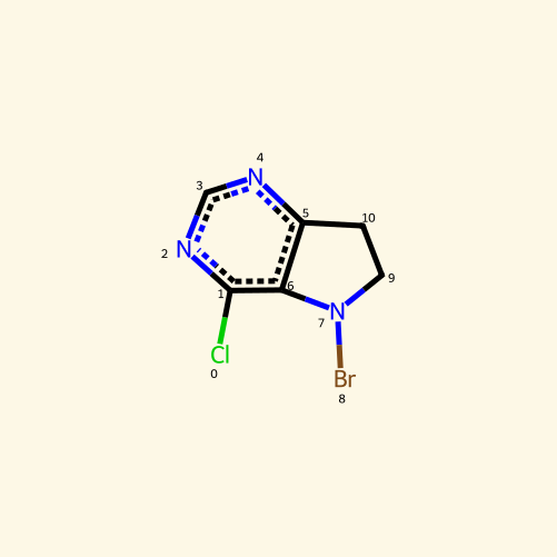 Clc1ncnc2c1N(Br)CC2